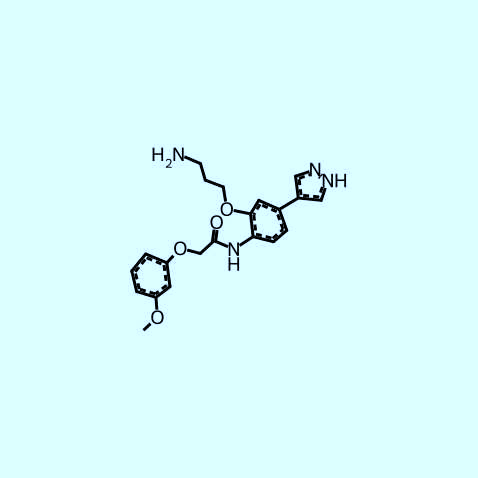 COc1cccc(OCC(=O)Nc2ccc(-c3cn[nH]c3)cc2OCCCN)c1